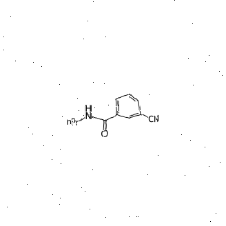 CCCNC(=O)c1cccc(C#N)c1